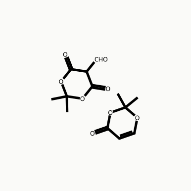 CC1(C)OC(=O)C(C=O)C(=O)O1.CC1(C)OC=CC(=O)O1